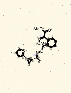 CO/N=C(/C(=O)OC)c1ccccc1CO/N=C(\C)[C@@H]1C[C@H]1c1cccs1